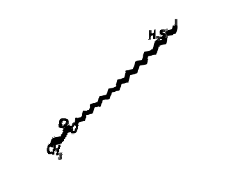 CC=CC(=O)OCCCCCCCCCCCCCCCCCCCC[SiH2]CI